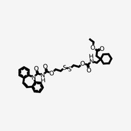 CCOC(=O)CC1(CNC(=O)OCCSSCCOC(=O)NC(=O)N2c3ccccc3C=Cc3ccccc32)CCCCC1